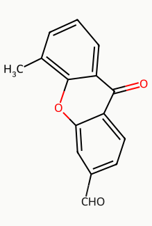 Cc1cccc2c(=O)c3ccc(C=O)cc3oc12